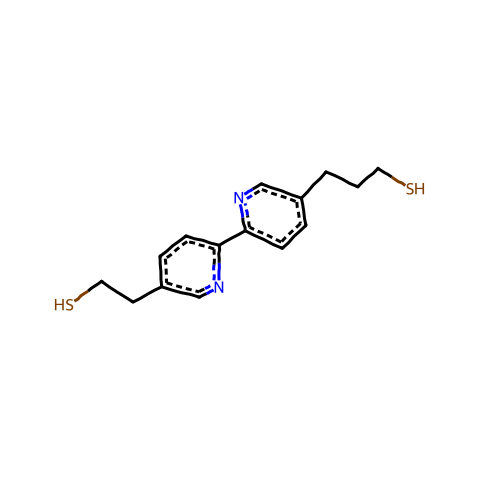 SCCCc1ccc(-c2ccc(CCS)cn2)nc1